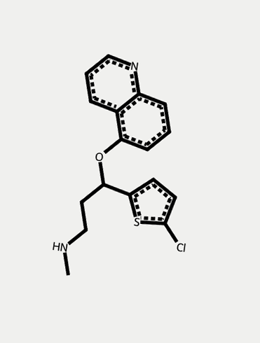 CNCCC(Oc1cccc2ncccc12)c1ccc(Cl)s1